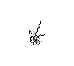 CCCCCCCC(CCCC)c1ccoc1S(=O)(=O)[O-].[Na+]